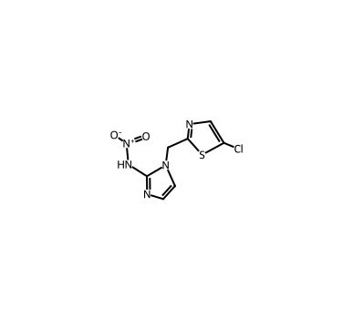 O=[N+]([O-])Nc1nccn1Cc1ncc(Cl)s1